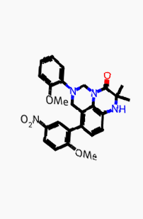 COc1ccc([N+](=O)[O-])cc1-c1ccc2c3c1CN(c1ccccc1OC)CN3C(=O)C(C)(C)N2